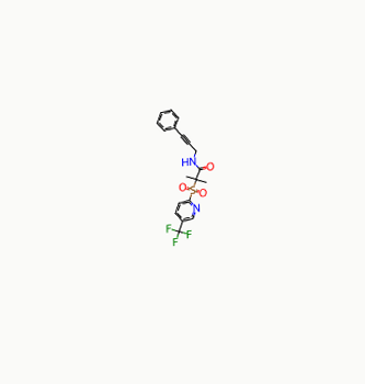 CC(C)(C(=O)NCC#Cc1ccccc1)S(=O)(=O)c1ccc(C(F)(F)F)cn1